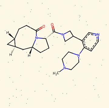 CN1CCN(c2ccncc2C2CN(C(=O)[C@@H]3CC[C@@H]4C[C@H]5C[C@@H]5CCC(=O)N43)C2)CC1